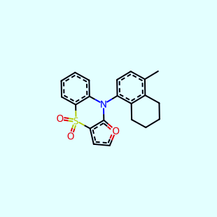 Cc1ccc(N2c3ccccc3S(=O)(=O)c3ccoc32)c2c1CCCC2